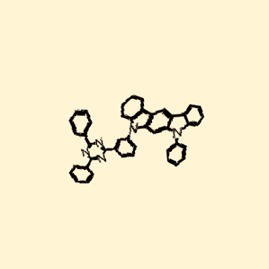 c1ccc(-c2nc(-c3ccccc3)nc(-c3cccc(-n4c5c(c6cc7c8ccccc8n(-c8ccccc8)c7cc64)CCCC5)c3)n2)cc1